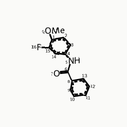 COc1ccc(NC(=O)c2[c]cccc2)cc1F